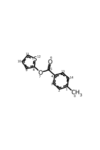 Cc1ccc(C(=O)Oc2cccs2)cc1